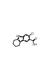 O=C(O)c1cc2c3c([nH]c2cc1Cl)CCCC3